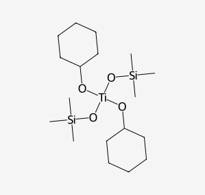 C[Si](C)(C)[O][Ti]([O]C1CCCCC1)([O]C1CCCCC1)[O][Si](C)(C)C